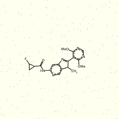 COc1ncnc(OC)c1C1=Nc2cc(NC(=O)C3CC3F)ncc2C1C